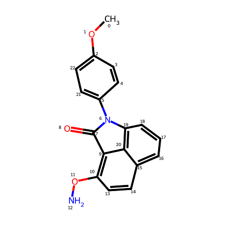 COc1ccc(N2C(=O)c3c(ON)ccc4cccc2c34)cc1